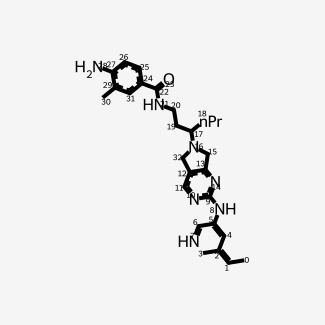 C/C=C(C)\C=C(/C=N)Nc1ncc2c(n1)CN(C(CCC)CCNC(=O)c1ccc(N)c(C)c1)C2